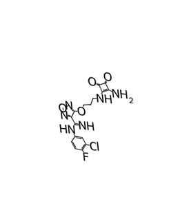 N=C(Nc1ccc(F)c(Cl)c1)c1nonc1OCCCNc1c(N)c(=O)c1=O